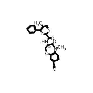 Cc1cnc(C(=O)N[C@H]2COc3cc(C#N)ccc3N(C)C2=O)nc1-c1ccccc1